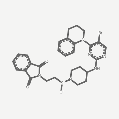 O=C1c2ccccc2C(=O)N1CC[S+]([O-])N1CCC(Nc2ncc(Br)c(N3CCCc4ccccc43)n2)CC1